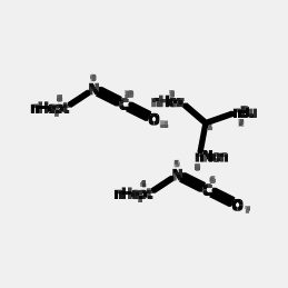 CCCCCCCCCC(CCCC)CCCCCC.CCCCCCCN=C=O.CCCCCCCN=C=O